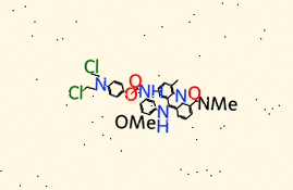 CNC(=O)c1cccc2c(Nc3cc(NC(=O)Oc4ccc(N(CCCl)CCCl)cc4)ccc3OC)c3cccc(C)c3nc12